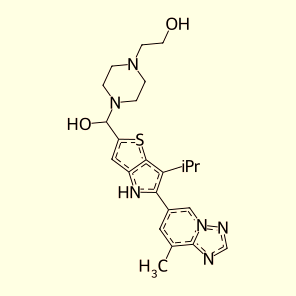 Cc1cc(-c2[nH]c3cc(C(O)N4CCN(CCO)CC4)sc3c2C(C)C)cn2ncnc12